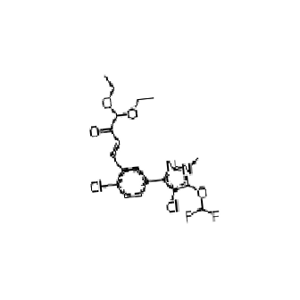 CCOC(OCC)C(=O)C=Cc1cc(-c2nn(C)c(OC(F)F)c2Cl)ccc1Cl